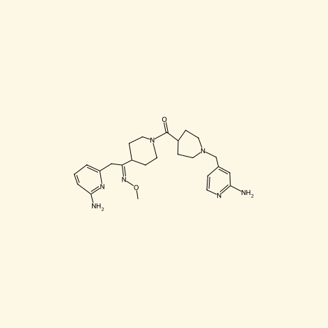 CON=C(Cc1cccc(N)n1)C1CCN(C(=O)C2CCN(Cc3ccnc(N)c3)CC2)CC1